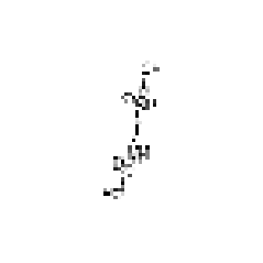 O=C(NCCCCCNC(=O)OCCO)OCCO